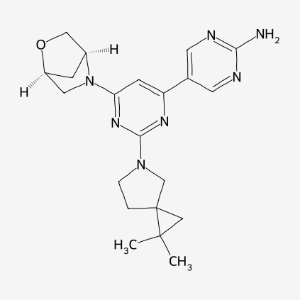 CC1(C)CC12CCN(c1nc(-c3cnc(N)nc3)cc(N3C[C@@H]4C[C@H]3CO4)n1)C2